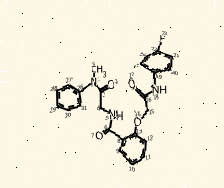 CN(C(=O)CNC(=O)c1ccccc1OCC(=O)Nc1ccc(F)cc1)c1ccccc1